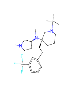 CN1CC[C@H](N(C)[C@@]2(CCc3cccc(C(F)(F)F)c3)CCCN(C(C)(C)C)C2)C1